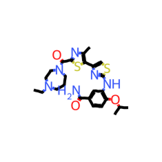 CCN1CCCN(C(=O)c2nc(C)c(-c3csc(Nc4cc(C(N)=O)ccc4OC(C)C)n3)s2)CC1